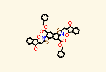 O=C1C(=Cc2nc3c(C(=O)OCc4ccccc4)cc4c(cc(C(=O)OCc5ccccc5)c5nc(C=C6C(=O)c7ccccc7C6=O)sc54)c3s2)C(=O)c2ccccc21